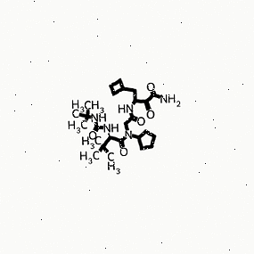 CC(C)(C)NC(=O)N[C@H](C(=O)N(CC(=O)NC(CC1CCC1)C(=O)C(N)=O)C1CCCC1)C(C)(C)C